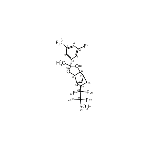 CC1(c2cc(F)cc(C(F)(F)F)c2)OC2C3CC(C2O1)C(C(F)(F)C(F)(F)S(=O)(=O)O)C3